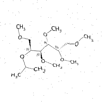 COC[C@H](OC(C)C)[C@H](OC)[C@H](OC)[C@H](COC)OC